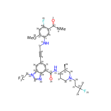 CNC(=O)c1cc(NCC#Cc2cc(C(=O)N[C@H]3CCN(CCC(C)(C)F)C[C@@H]3C)c3ncn(CC(F)(F)F)c3c2)c(OC)cc1F